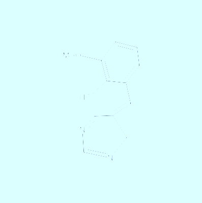 COc1cccc(C=C2C=NC=NC2)c1O